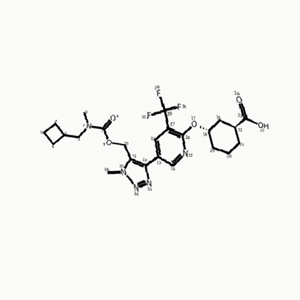 CN(CC1CCC1)C(=O)OCc1c(-c2cnc(O[C@H]3CCC[C@H](C(=O)O)C3)c(C(F)(F)F)c2)nnn1C